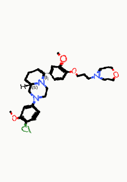 COc1cc(N2CCN3[C@@H](CCC[C@@H]3c3ccc(OCCCN4CCOCC4)c(OC)c3)C2)ccc1Cl